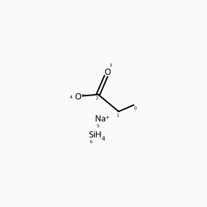 CCC(=O)[O-].[Na+].[SiH4]